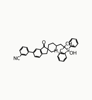 CC(C)(CC1CCC2(CC1)Cc1ccc(-c3cccc(C#N)c3)cc1C2=O)[Si](O)(c1ccccc1)c1ccccc1